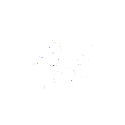 CCn1cc(-c2oc3c([C@@H](C)Nc4ccc(Cl)nc4-c4noc(=O)[nH]4)cc(C)cc3c(=O)c2C)cn1